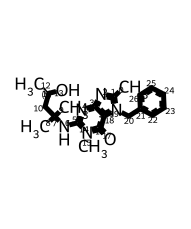 Cc1nc2nc(NC(C)(C)C[C@H](C)O)n(C)c(=O)c2n1Cc1ccccc1